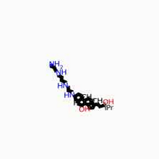 CC(C)[C@@H](O)CCC1CCC2C3C(CC[C@]12C)[C@@]1(C)CC[C@H](NCCCNCCCCNCCCN)C[C@@H]1C[C@H]3O